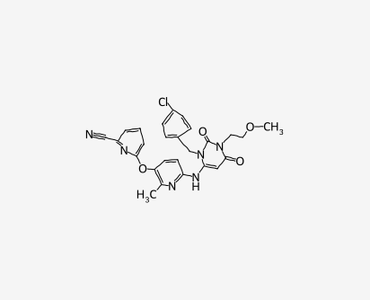 COCCn1c(=O)cc(Nc2ccc(Oc3cccc(C#N)n3)c(C)n2)n(Cc2ccc(Cl)cc2)c1=O